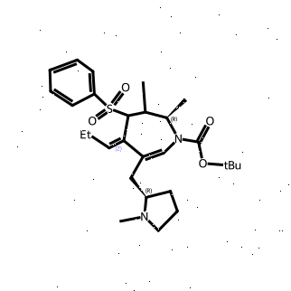 CC/C=C1/C(C[C@H]2CCCN2C)=CN(C(=O)OC(C)(C)C)[C@H](C)C(C)C1S(=O)(=O)c1ccccc1